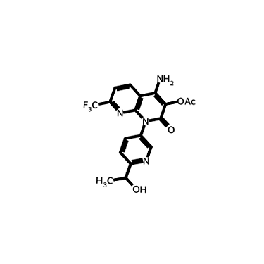 CC(=O)Oc1c(N)c2ccc(C(F)(F)F)nc2n(-c2ccc(C(C)O)nc2)c1=O